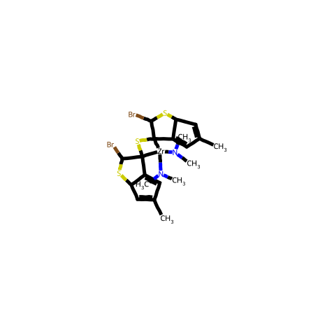 CC1=CC2SC(Br)[C]3(S[C]4(C5=CC(C)=CC5SC4Br)[Zr]3([N](C)C)[N](C)C)C2=C1